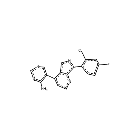 Nc1ncncc1-c1ccnc2c1cnn2-c1ccc(F)cc1Cl